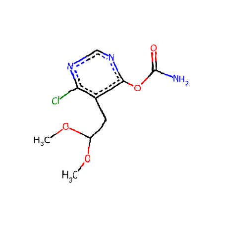 COC(Cc1c(Cl)ncnc1OC(N)=O)OC